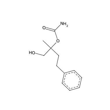 CC(CO)(CCc1ccccc1)OC(N)=O